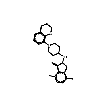 Cc1ccc(C)c2c1CC(NC1CCN(c3cccc4c3OCCC4)CC1)C2=O